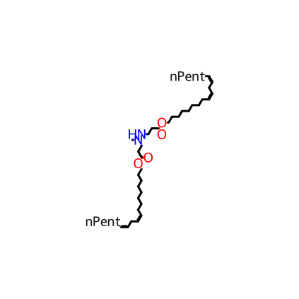 CCCCC/C=C\C/C=C\CCCCCCCCOC(=O)CCNN(C)CCC(=O)OCCCCCCCC/C=C\C/C=C\CCCCC